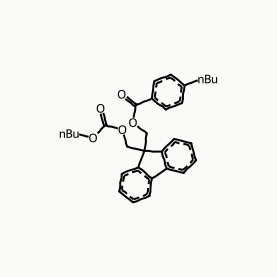 CCCCOC(=O)OCC1(COC(=O)c2ccc(CCCC)cc2)c2ccccc2-c2ccccc21